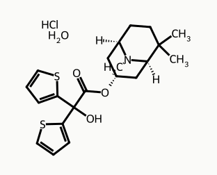 CN1[C@@H]2CCC(C)(C)[C@H]1C[C@H](OC(=O)C(O)(c1cccs1)c1cccs1)C2.Cl.O